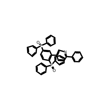 O=P(c1ccccc1)(c1ccccc1)c1ccc(P(=O)(c2ccccc2)c2ccccc2)c(-c2ccc(-c3ccccc3)nc2)c1